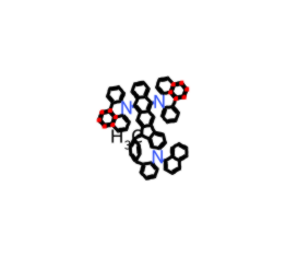 CC12c3ccc(cc3)-c3ccccc3N(c3cccc4ccccc34)c3ccc(c1c3)-c1cc3c(N(c4ccccc4-c4ccccc4)c4cccc5ccccc45)c4ccccc4c(N(c4ccccc4-c4ccccc4)c4cccc5ccccc45)c3cc12